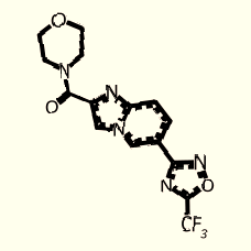 O=C(c1cn2cc(-c3noc(C(F)(F)F)n3)ccc2n1)N1CCOCC1